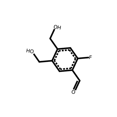 O=Cc1cc(CO)c(CO)cc1F